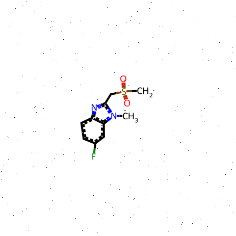 [CH2]S(=O)(=O)Cc1nc2ccc(F)cc2n1C